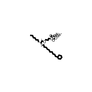 CCCCCCC[C@@H](SCCCCCCCCCCC1CCCCC1)[C@H](C)OCCCOP(=O)([O-])C(=O)[O-].[Na+].[Na+]